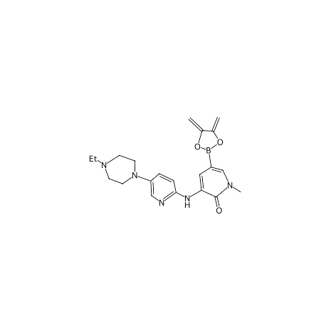 C=C1OB(c2cc(Nc3ccc(N4CCN(CC)CC4)cn3)c(=O)n(C)c2)OC1=C